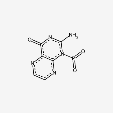 Nc1nc(=O)c2nccnc2n1P(=O)=O